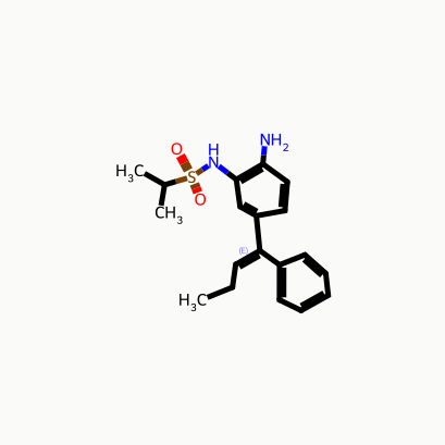 CC/C=C(\c1ccccc1)c1ccc(N)c(NS(=O)(=O)C(C)C)c1